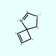 [C]1=NC2(C=CC2)CS1